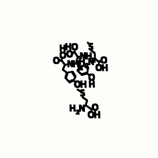 CSCCC(N)C(=O)O.CSCCC(N)C(=O)O.NC(Cc1ccc(O)cc1)C(=O)O.NC(Cc1ccc(O)cc1)C(=O)O